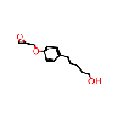 OCCCCCc1ccc(OCC2CO2)cc1